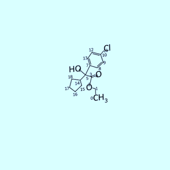 CCOC(=O)C(O)(c1ccc(Cl)cc1)C1CCCC1